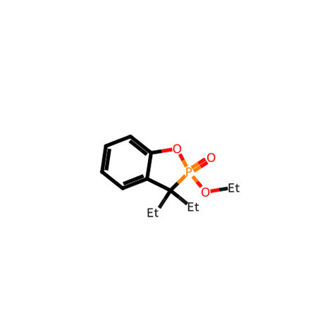 CCOP1(=O)Oc2ccccc2C1(CC)CC